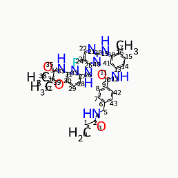 C=CC(=O)NCc1ccc(C(=O)Nc2ccc(C)c(Nc3ncc(F)c(Nc4ccc5c(n4)NC(=O)C(C)(C)O5)n3)c2)cc1